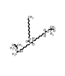 C=C(NCCCCCCN(C(=O)NCCCCCCNC(=O)OCC(C)(C)C=O)C(=O)OCCCCCCCCCCCC)OCC(C)(C)C=O